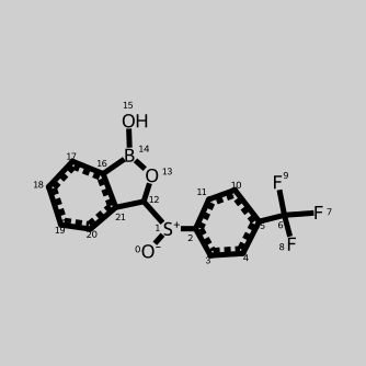 [O-][S+](c1ccc(C(F)(F)F)cc1)C1OB(O)c2ccccc21